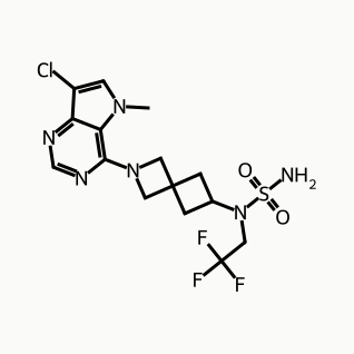 Cn1cc(Cl)c2ncnc(N3CC4(CC(N(CC(F)(F)F)S(N)(=O)=O)C4)C3)c21